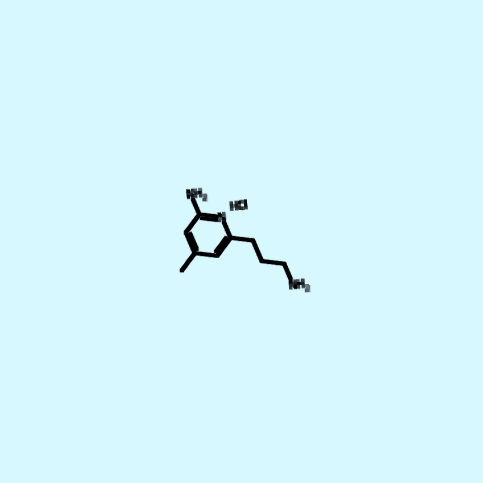 Cc1cc(N)nc(CCCN)c1.Cl